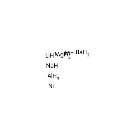 [AlH3].[BaH2].[LiH].[MgH2].[Mn].[NaH].[Ni]